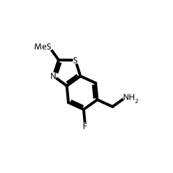 CSc1nc2cc(F)c(CN)cc2s1